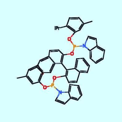 Cc1cccc(OP(Oc2ccc3ccccc3c2-c2c(OP(Oc3cc(C)ccc3C(C)C)n3ccc4ccccc43)ccc3ccccc23)n2ccc3ccccc32)c1